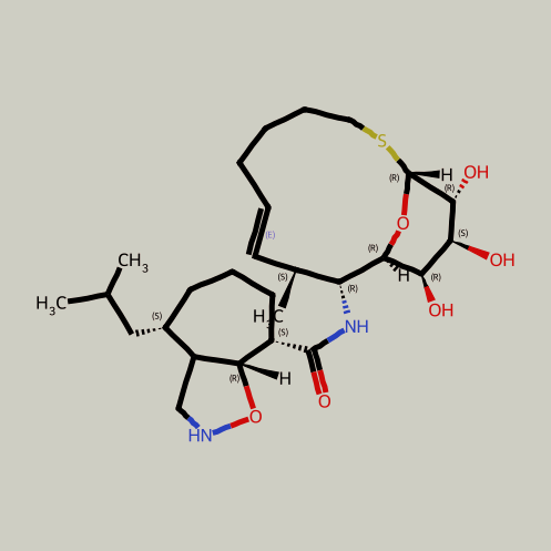 CC(C)C[C@@H]1CCC[C@H](C(=O)N[C@H]2[C@H]3O[C@H](SCCCC/C=C/[C@@H]2C)[C@H](O)[C@@H](O)[C@H]3O)[C@@H]2ONCC12